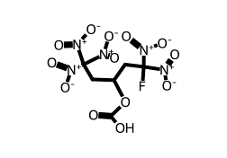 O=C(O)OC(CC(F)([N+](=O)[O-])[N+](=O)[O-])CC([N+](=O)[O-])([N+](=O)[O-])[N+](=O)[O-]